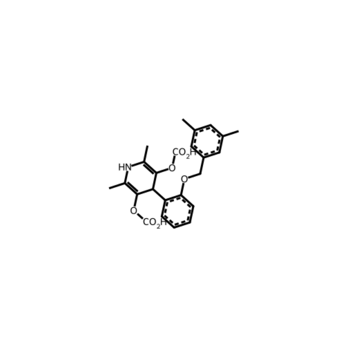 CC1=C(OC(=O)O)C(c2ccccc2OCc2cc(C)cc(C)c2)C(OC(=O)O)=C(C)N1